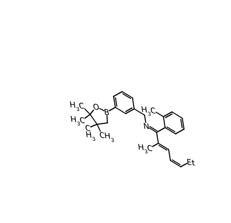 CC\C=C/C=C(C)/C(=N/Cc1cccc(B2CC(C)(C)C(C)(C)O2)c1)c1ccccc1C